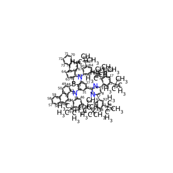 CC(C)(C)c1cc(-c2cc(-c3cc(C(C)(C)C)cc(C(C)(C)C)c3)nc(-c3cc4c5c(c3)N(c3cc(C(C)(C)C)cc(C(C)(C)C)c3)c3c(ccc6c3ccc3ccccc36)B5c3ccc5c(ccc6ccccc65)c3N4c3cc(C(C)(C)C)cc(C(C)(C)C)c3)n2)cc(C(C)(C)C)c1